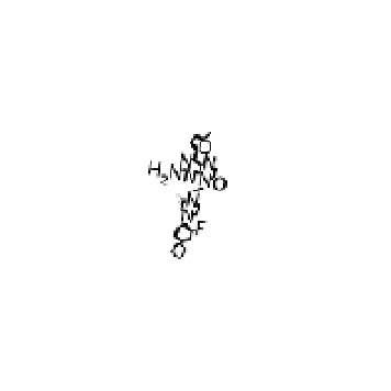 COc1ccc(N2CCN(CCn3c(=O)cnc4c(-c5ccc(C)o5)nc(N)nc43)[C@@H](C)C2)c(F)c1